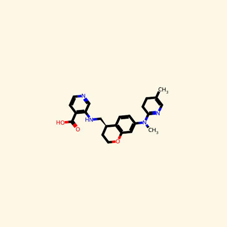 CC1=CN=C(N(C)c2ccc3c(c2)OCC[C@H]3CNc2cnccc2C(=O)O)CC1